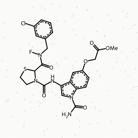 COC(=O)COc1ccc2c(c1)c(NC(=O)N1CCSC1C(=O)N(F)Cc1cccc(Cl)c1)cn2C(N)=O